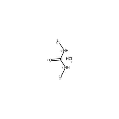 Cl.O=C(NCl)NCl